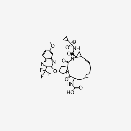 COc1ccc2nc(C(F)(F)F)c(OC3CC4C(=O)NC5(C(=O)NS(=O)(=O)C6CC6)CC5/C=C\CCCCCC(NC(=O)O)C(=O)N4C3)nc2c1